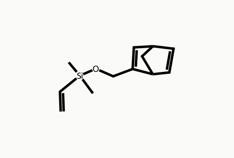 C=C[Si](C)(C)OCC1=CC2C=CC1C2